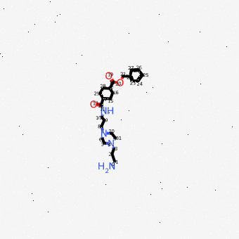 NCCCN1CCN(CCCNC(=O)C2CCC(C(=O)OCc3ccccc3)CC2)CC1